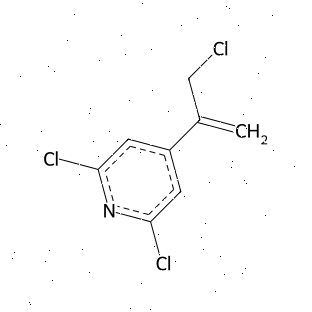 C=C(CCl)c1cc(Cl)nc(Cl)c1